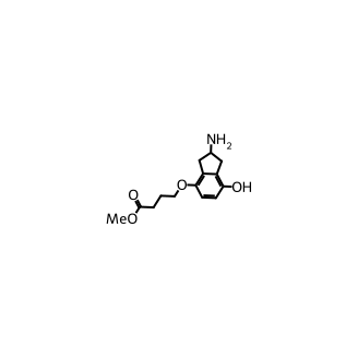 COC(=O)CCCOc1ccc(O)c2c1CC(N)C2